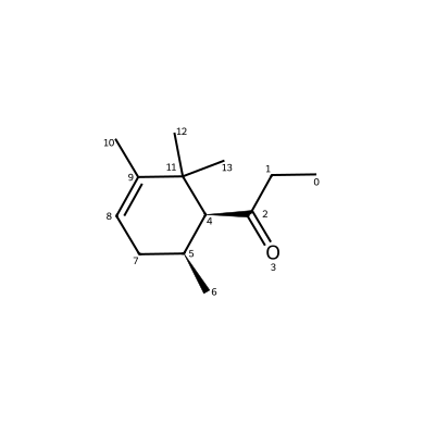 CCC(=O)[C@H]1[C@@H](C)CC=C(C)C1(C)C